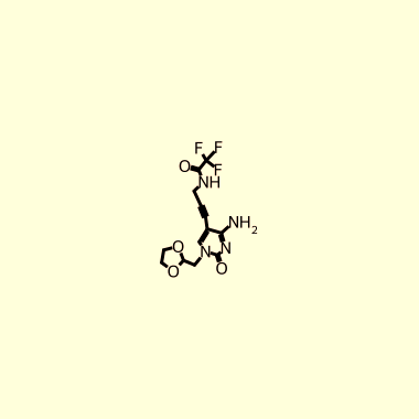 Nc1nc(=O)n(CC2OCCO2)cc1C#CCNC(=O)C(F)(F)F